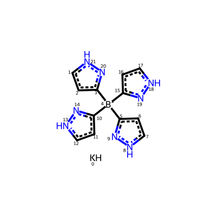 [KH].c1cc([B-](c2cc[nH]n2)(c2cc[nH]n2)c2cc[nH]n2)n[nH]1